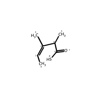 CC=C(C)C(C)C(=O)S